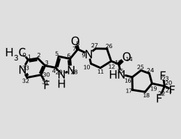 Cc1cc(-c2cc(C(=O)N3CCC(C(=O)NC4CCC(C(F)(F)F)CC4)CC3)n[nH]2)c(F)cn1